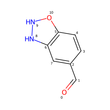 O=Cc1ccc2c(c1)NNO2